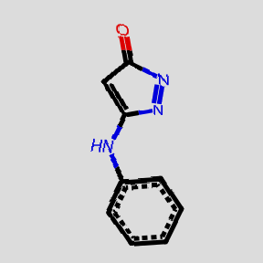 O=C1C=C(Nc2ccccc2)N=N1